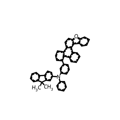 CC1(C)c2ccccc2-c2ccc(N(c3ccccc3)c3cccc(-c4cccc5c6ccc7oc8ccccc8c7c6c6ccccc6c45)c3)cc21